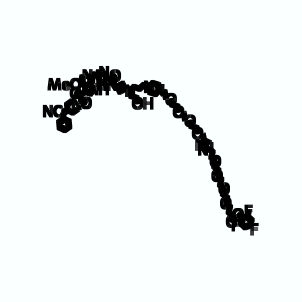 COc1cnc(-n2cnc(C(=O)NC3CC(N(CCO)CCCN4CCN(CCOCCOCCOCCOCc5cn(CCOCCOCCOCCOCCC(=O)Oc6c(F)cc(F)cc6F)nn5)CC4)C3)n2)c2[nH]cc(C(=O)C(=O)N3CCC(=C(C#N)c4ccccc4)CC3)c12